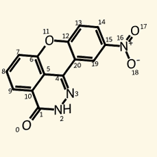 O=c1[nH]nc2c3c(cccc13)Oc1ccc([N+](=O)[O-])cc1-2